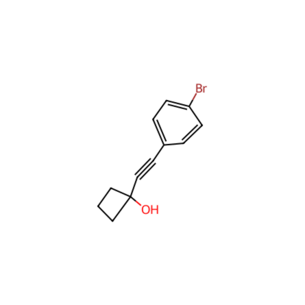 OC1(C#Cc2ccc(Br)cc2)CCC1